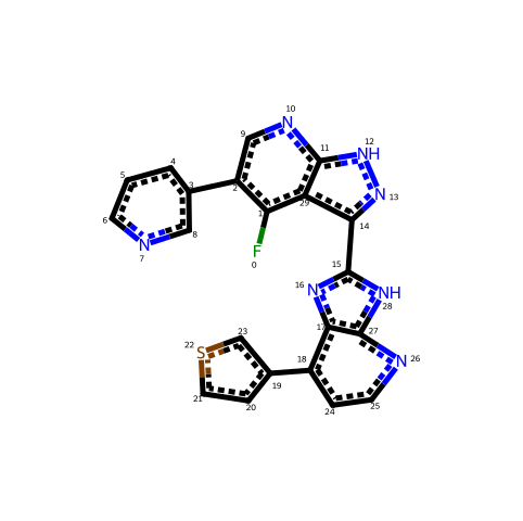 Fc1c(-c2cccnc2)cnc2[nH]nc(-c3nc4c(-c5ccsc5)ccnc4[nH]3)c12